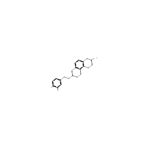 CCCC1CCc2c(ccc3c2CCC(CCc2ccc(F)c(F)c2)C3)C1